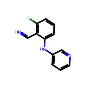 N=Cc1c(F)cccc1Nc1cccnc1